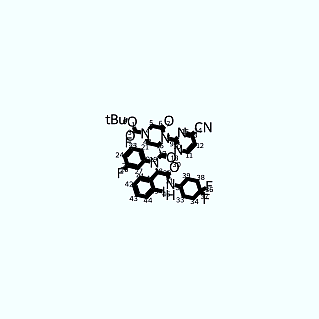 CC(C)(C)OC(=O)N1CC(=O)N(c2nccc(C#N)n2)[C@H](C(=O)N(c2cc(F)cc(F)c2)[C@H](C(=O)NC2CCC(F)(F)CC2)c2ccccc2I)C1